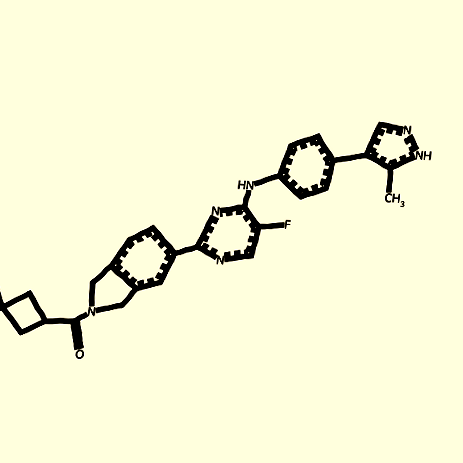 Cc1[nH]ncc1-c1ccc(Nc2nc(-c3ccc4c(c3)CN(C(=O)C3CC(F)(F)C3)C4)ncc2F)cc1